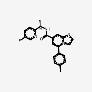 Cc1ccc(-c2cc(C(=O)N[C@H](C)c3ccc(F)cn3)cc3nccn23)cc1